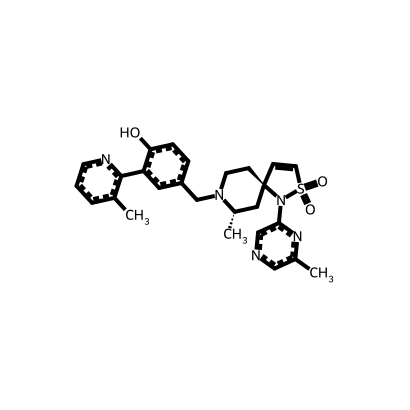 Cc1cncc(N2[C@]3(C=CS2(=O)=O)CCN(Cc2ccc(O)c(-c4ncccc4C)c2)[C@@H](C)C3)n1